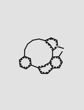 Cc1ccc2ccc3cc2c1-c1cc(cc[n+]1C)CCCCc1cccc-3c1